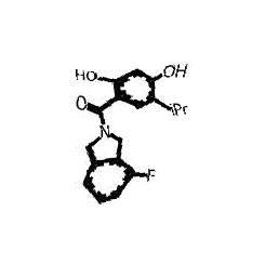 CC(C)c1cc(C(=O)N2Cc3cccc(F)c3C2)c(O)cc1O